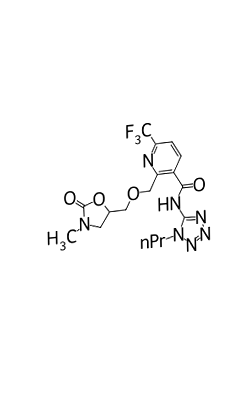 CCCn1nnnc1NC(=O)c1ccc(C(F)(F)F)nc1COCC1CN(C)C(=O)O1